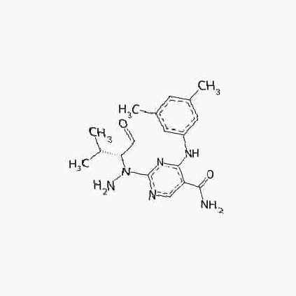 Cc1cc(C)cc(Nc2nc(N(N)[C@@H](C=O)C(C)C)ncc2C(N)=O)c1